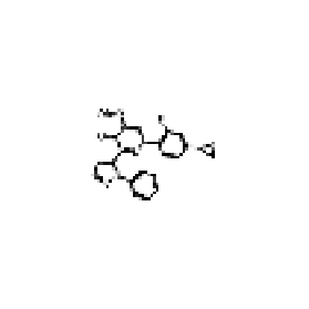 COc1cn(-c2ccc(C3CC3)cc2F)nc(-c2ccnn2-c2ccccc2)c1=O